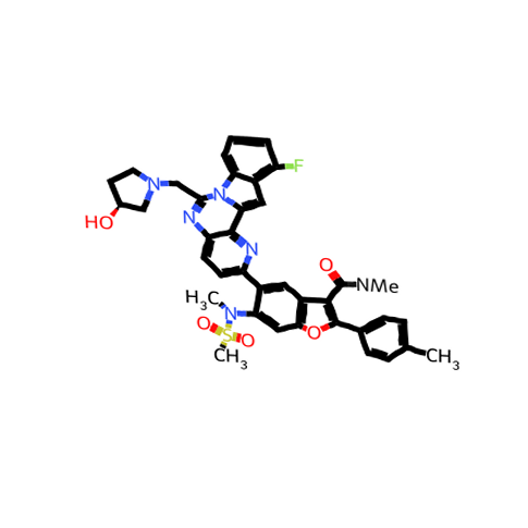 CNC(=O)c1c(-c2ccc(C)cc2)oc2cc(N(C)S(C)(=O)=O)c(-c3ccc4nc(CN5CC[C@H](O)C5)n5c6cccc(F)c6cc5c4n3)cc12